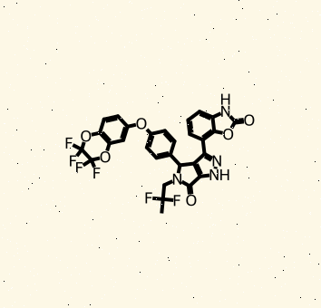 CC(F)(F)CN1C(=O)c2[nH]nc(-c3cccc4[nH]c(=O)oc34)c2C1c1ccc(Oc2ccc3c(c2)OC(F)(F)C(F)(F)O3)cc1